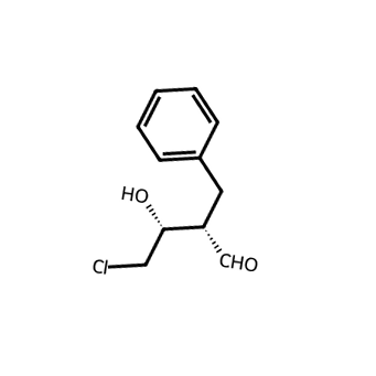 O=C[C@@H](Cc1ccccc1)[C@@H](O)CCl